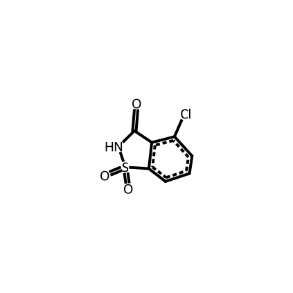 O=C1NS(=O)(=O)c2cccc(Cl)c21